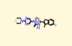 C=C(Nc1cnc(N2CCSCC2)nc1)NC(C1=C(C)c2cc(F)ccc2C1)C(C)C